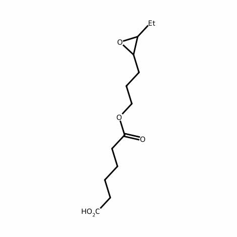 CCC1OC1CCCOC(=O)CCCCC(=O)O